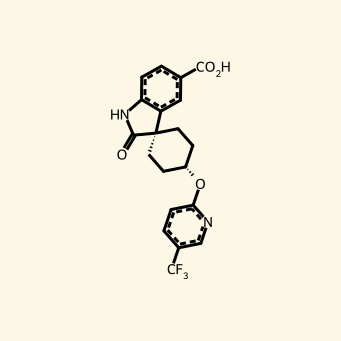 O=C(O)c1ccc2c(c1)[C@]1(CC[C@@H](Oc3ccc(C(F)(F)F)cn3)CC1)C(=O)N2